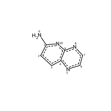 Nc1ccc2nccnc2n1